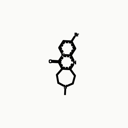 CN1CCc2nc3cc(Br)ccn3c(=O)c2CC1